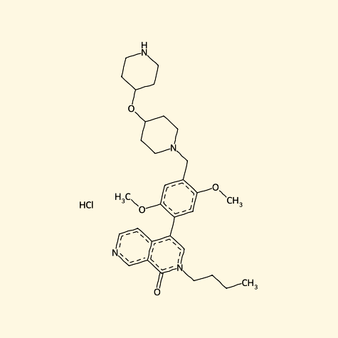 CCCCn1cc(-c2cc(OC)c(CN3CCC(OC4CCNCC4)CC3)cc2OC)c2ccncc2c1=O.Cl